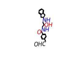 O=CCc1ccc(C(=O)NCC(O)CNC2Cc3ccccc3C2)cc1